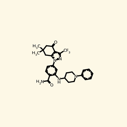 CC1(C)CC(=O)c2c(C(F)(F)F)nn(-c3ccc(C(N)=O)c(NC4CCN(c5ccccc5)CC4)c3)c2C1